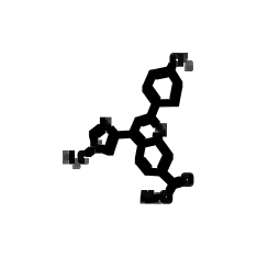 COC(=O)c1ccc2c(-c3cn(C)cn3)cc(-c3ccc(C(F)(F)F)cc3)nc2c1